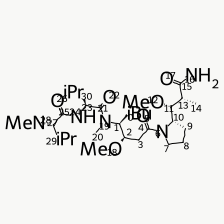 CCC(C)[C@@H]([C@@H](CC(=O)N1CCC[C@H]1[C@H](OC)[C@@H](C)C(N)=O)OC)N(C)C(=O)[C@@H](NC(=O)[C@@H](NC)C(C)C)C(C)C